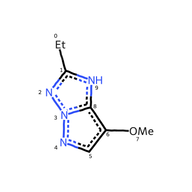 CCc1nn2ncc(OC)c2[nH]1